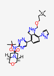 CN(c1ncc(-c2ccc(-n3cccn3)c3c2cnn3COCC[Si](C)(C)C)nn1)C1C[C@H]2COC[C@@H](C1)N2C(=O)OC(C)(C)C